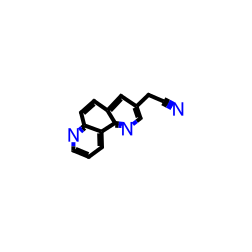 N#CCc1cnc2c(ccc3ncccc32)c1